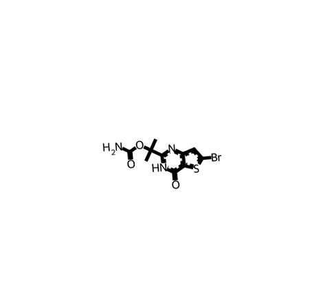 CC(C)(OC(N)=O)c1nc2cc(Br)sc2c(=O)[nH]1